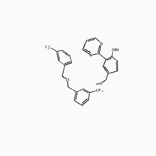 COc1ccc(CO)cc1-c1ncccn1.FC(F)(F)c1cccc(COCc2cccc(C(F)(F)F)c2)c1